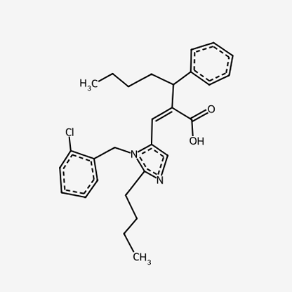 CCCCc1ncc(C=C(C(=O)O)C(CCCC)c2ccccc2)n1Cc1ccccc1Cl